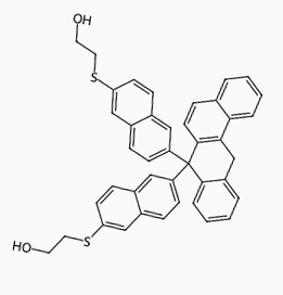 OCCSc1ccc2cc(C3(c4ccc5cc(SCCO)ccc5c4)c4ccccc4Cc4c3ccc3ccccc43)ccc2c1